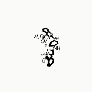 CN(C)c1nc(N[C@H]2CC[C@@H](NC(=O)Cc3n[nH]c(=O)c4ccccc34)CC2)nc2ccccc12